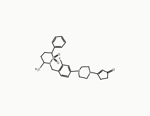 CC1CCC(c2ccccc2)S(=O)(=O)N1Cc1ccc(N2CCN(C3=CC(=O)CC3)CC2)cc1F